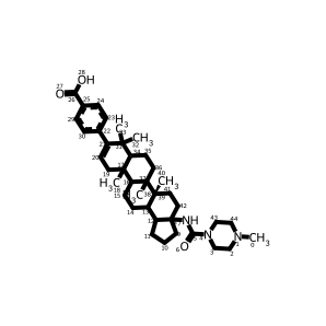 CN1CCN(C(=O)NC23CCCC2C2CCC4C5(C)CC=C(c6ccc(C(=O)O)cc6)C(C)(C)C5CCC4(C)[C@]2(C)CC3)CC1